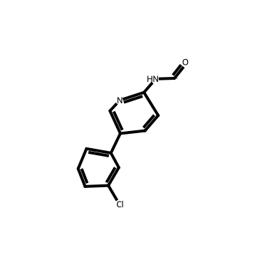 O=[C]Nc1ccc(-c2cccc(Cl)c2)cn1